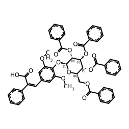 COc1cc(C=C(C(=O)O)c2ccccc2)cc(OC)c1O[C@@H]1O[C@H](COC(=O)c2ccccc2)[C@@H](OC(=O)c2ccccc2)[C@H](OC(=O)c2ccccc2)[C@H]1OC(=O)c1ccccc1